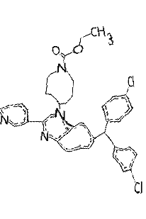 CCOC(=O)N1CCC(n2c(-c3cccnc3)nc3ccc(C(c4ccc(Cl)cc4)c4ccc(Cl)cc4)cc32)CC1